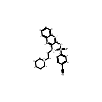 N#Cc1ccc(S(=O)(=O)Nc2nc3ccccc3nc2OCCN2CCCCC2)cc1